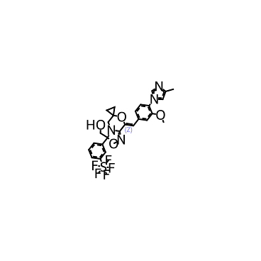 COc1cc(/C=C2\OC3(CC3)CN3C2=NOC3(CO)c2cccc(S(F)(F)(F)(F)F)c2)ccc1-n1cnc(C)c1